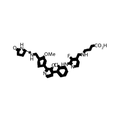 COc1cc(-c2nccc(-c3cccc(Nc4nccc(CNCCCC(=O)O)c4F)c3Cl)c2Cl)ccc1CNC[C@@H]1CCC(=O)N1